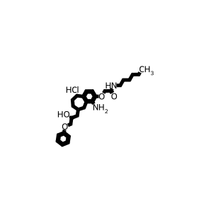 CCCCCCNC(=O)COc1ccc2c(c1N)CC(C[C@H](O)COc1ccccc1)CCC2.Cl